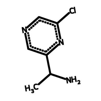 CC(N)c1cncc(Cl)n1